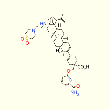 C=C(C)[C@@H]1CC[C@]2(NCCN3CCS(=O)(=O)CC3)CC[C@]3(C)[C@H](CC[C@@H]4[C@@]5(C)CC=C(C6=CCC(COc7cccc(C(N)=O)n7)(C(=O)O)CC6)C(C)(C)[C@@H]5CC[C@]43C)[C@@H]12